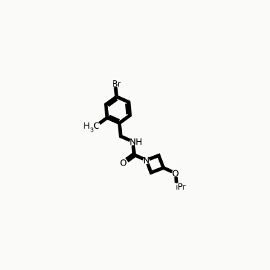 Cc1cc(Br)ccc1CNC(=O)N1CC(OC(C)C)C1